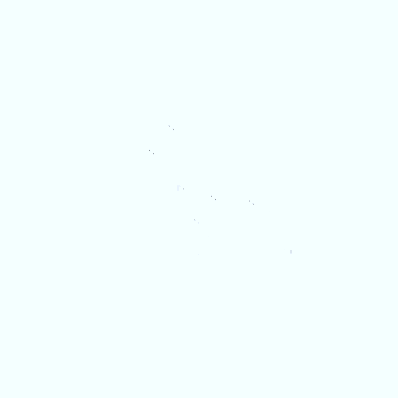 COc1ccc(Oc2cc(N3CCCC3CO)nc(NCc3nc4ccccc4[nH]3)n2)c(Cl)c1